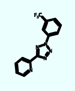 FC(F)(F)c1cccc(-n2nnc(-c3ccccn3)n2)c1